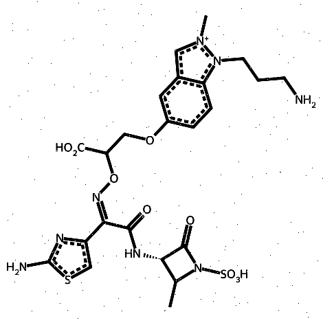 CC1[C@H](NC(=O)/C(=N\OC(COc2ccc3c(c2)c[n+](C)n3CCCN)C(=O)O)c2csc(N)n2)C(=O)N1S(=O)(=O)O